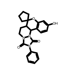 O=c1n(-c2ccccc2)c(=O)n2n1CCC1C2c2ccc(O)cc2OC12CCCC2